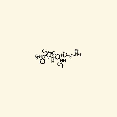 C=CC(=O)Nc1cc(Nc2ncc(Cl)c(Nc3ccccc3P(C)(C)=O)n2)c(OC)cc1N1CCC(N(C)CCN(CC)CC)C1